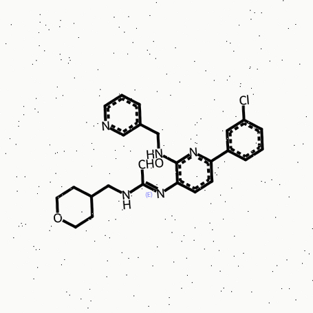 O=C/C(=N\c1ccc(-c2cccc(Cl)c2)nc1NCc1cccnc1)NCC1CCOCC1